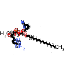 CCCCCCCCCCCCCCCCCCOC[C@H](COP(=O)(O)OC[C@](C)(CCc1ccc2c(N)ncnn12)OC)OCc1cccc(C#N)n1